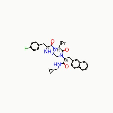 CC(C)[C@H]1C(=O)N([C@@H](Cc2ccc3ccccc3c2)C(=O)NCC2CC2)CCN1C(=O)[C@H](N)Cc1ccc(F)cc1